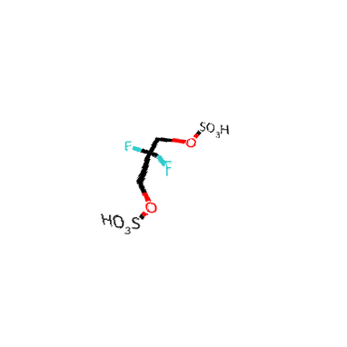 O=S(=O)(O)OCC(F)(F)COS(=O)(=O)O